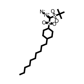 CCCCCCCCCCC1CCC(S(=O)(=O)C(=[N+]=[N-])S(=O)(=O)C(C)(C)C)CC1